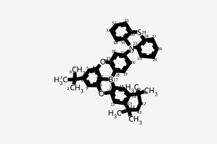 CC(C)(C)c1cc2c3c(c1)Oc1cc4c(cc1B3c1ccc(N3c5ccccc5Sc5ccccc53)cc1O2)C(C)(C)CCC4(C)C